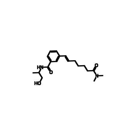 CC(CO)NC(=O)c1cccc(C=CCCCCC(=O)N(C)C)c1